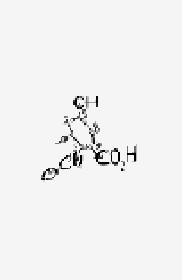 O=C=Nc1ccc(O)cc1C(=O)O